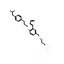 CC(C)Cc1ccc(CCCNc2ccc(CNCCCO[PH](=O)O)cc2-c2ccco2)cc1